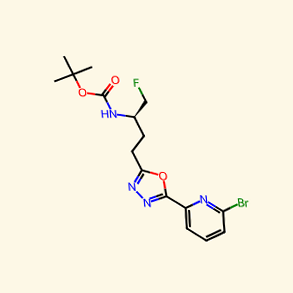 CC(C)(C)OC(=O)N[C@@H](CF)CCc1nnc(-c2cccc(Br)n2)o1